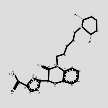 C[C@@H]1CCC[C@H](C)N1CCCCCN1C(=O)C(c2ncc(C(=N)N)[nH]2)Sc2ccccc21